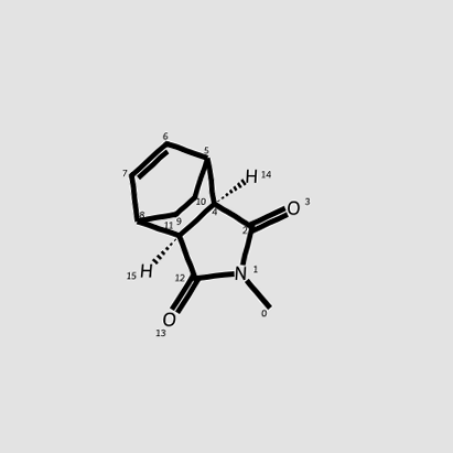 CN1C(=O)[C@@H]2C3C=CC(CC3)[C@@H]2C1=O